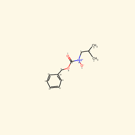 CC(C)C[NH+]([O-])C(=O)OCc1ccccc1